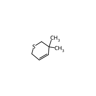 CC1(C)C=CCSC1